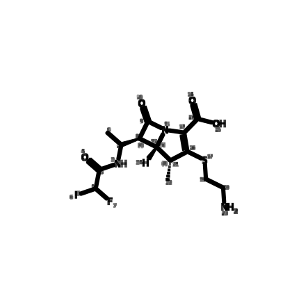 CC(NC(=O)C(F)F)[C@H]1C(=O)N2C(C(=O)O)=C(SCCN)[C@H](C)[C@H]12